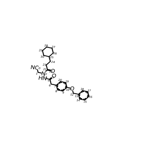 N#CCN(NC(=O)Cc1ccc(OCc2ccccc2)cc1)C(=O)CCC1CCCCC1